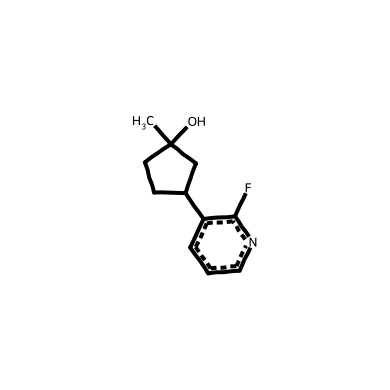 CC1(O)CCC(c2cccnc2F)C1